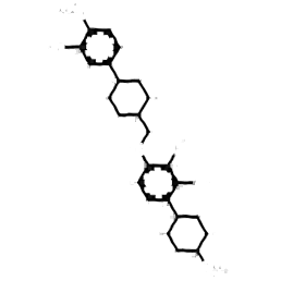 COc1ccc(C2CCC(COc3ccc(C4CCC(OC)CC4)c(F)c3F)CC2)cc1F